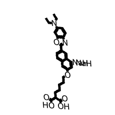 CCN(CC)c1ccc2nc(-c3ccc4cc(OCCCCCC(C(=O)O)C(=O)O)ccc4c3)oc2c1.[NaH].[NaH]